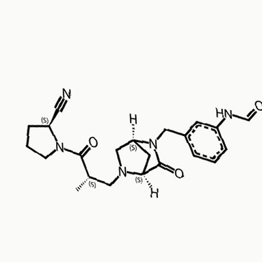 C[C@@H](CN1C[C@@H]2C[C@H]1C(=O)N2Cc1cccc(NC=O)c1)C(=O)N1CCC[C@H]1C#N